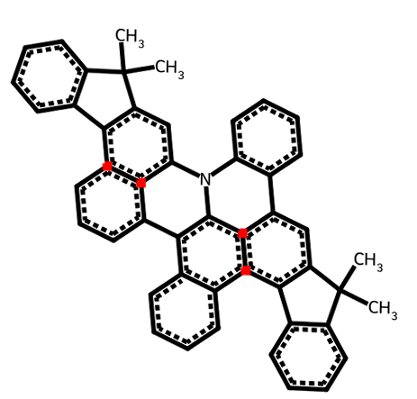 CC1(C)c2ccccc2-c2ccc(-c3ccccc3N(c3ccc4c(c3)C(C)(C)c3ccccc3-4)c3ccc4ccccc4c3-c3ccccc3)cc21